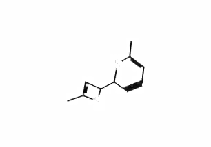 CC1=CC#CC(C2C=C(C)S2)S1